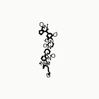 C=C(NC)C(CCC=O)N(C)c1cccc(N2CCC(N3CCN(Cc4c(OC)cc(-c5cn(C)c(=O)c6c5CCC6)cc4OC)CC3=O)CC2)c1N(C)C=O